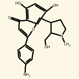 CN1CCC(c2c(O)cc(O)c3c(=O)cc(-c4ccc(N)cc4)oc23)C1CO